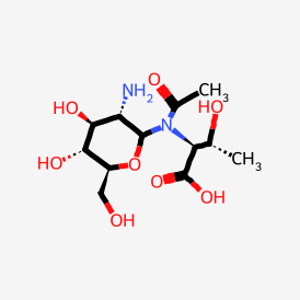 CC(=O)N(C1O[C@@H](CO)[C@H](O)[C@@H](O)[C@@H]1N)[C@H](C(=O)O)[C@@H](C)O